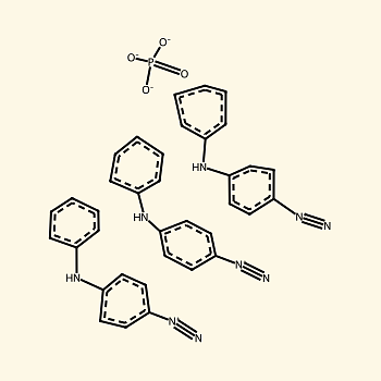 N#[N+]c1ccc(Nc2ccccc2)cc1.N#[N+]c1ccc(Nc2ccccc2)cc1.N#[N+]c1ccc(Nc2ccccc2)cc1.O=P([O-])([O-])[O-]